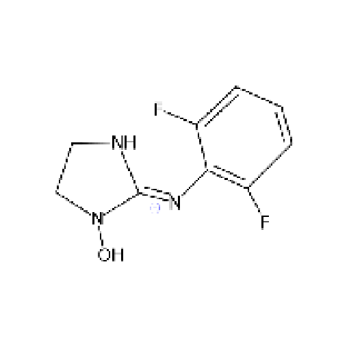 ON1CCN/C1=N\c1c(F)cccc1F